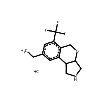 CCc1cc2c(c(C(F)(F)F)c1)COC1CNCC21.Cl